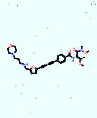 CO[C@H](C)[C@H](NC(=O)c1ccc(C#CC#Cc2ccc(CNCCCN3CCOCC3)o2)cc1)C(=O)N(C)OC